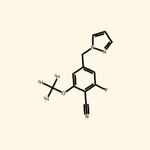 [2H]C([2H])([2H])Oc1cc(Cn2cccn2)cc(F)c1C#N